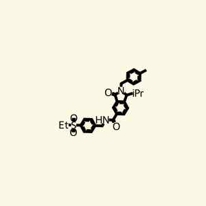 CCS(=O)(=O)c1ccc(CNC(=O)c2ccc3c(c2)C(=O)N(Cc2ccc(C)cc2)C3C(C)C)cc1